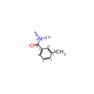 Cc1cccc(C(=O)N(I)I)c1